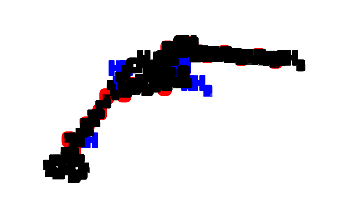 CNCCN(CCOCCOCCOCCNC(=O)OCC1c2ccccc2-c2ccccc21)C(=O)OCc1ccc(NC(=O)[C@H](CC(N)=O)NC(=O)[C@H](C)NC(=O)[C@H](C)NC(=O)CCOCCOCCOCCOCCOC)cc1